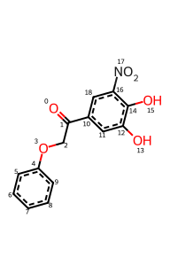 O=C(COc1ccccc1)c1cc(O)c(O)c([N+](=O)[O-])c1